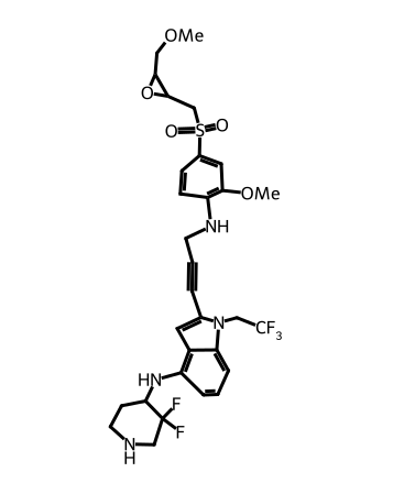 COCC1OC1CS(=O)(=O)c1ccc(NCC#Cc2cc3c(NC4CCNCC4(F)F)cccc3n2CC(F)(F)F)c(OC)c1